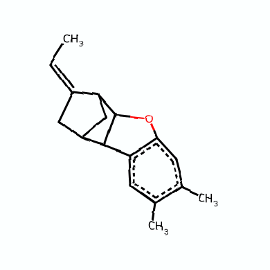 CC=C1CC2CC1C1Oc3cc(C)c(C)cc3C21